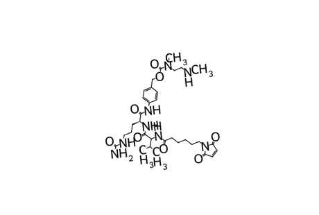 CNCCN(C)C(=O)OCc1ccc(NC(=O)[C@H](CCCNC(N)=O)NC(=O)C(NC(=O)CCCCCN2C(=O)C=CC2=O)C(C)C)cc1